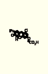 CC(C)c1cc(Cc2c(Cl)cc(OCC(=O)O)cc2Cl)n[nH]c1=O